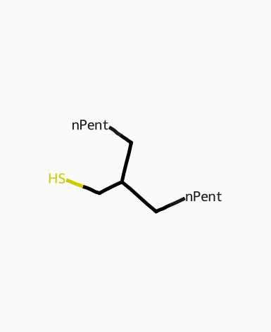 CCCCCCC(CS)CCCCCC